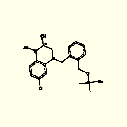 CC(=O)N1c2ccc(Cl)cc2N(Cc2ccccc2CO[Si](C)(C)C(C)(C)C)C[C@@H]1O